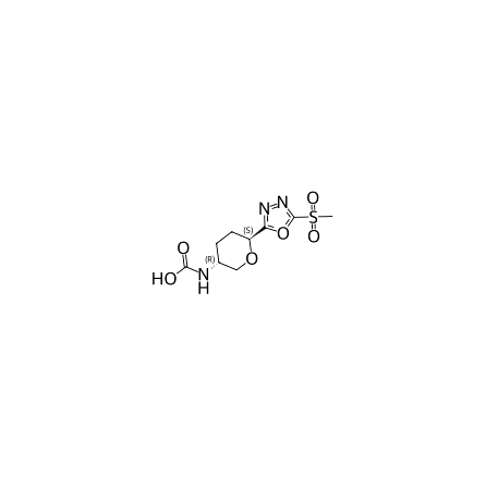 CS(=O)(=O)c1nnc([C@@H]2CC[C@@H](NC(=O)O)CO2)o1